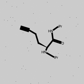 C#CCC[C@H](NC(C)C)C(=O)NC(C)C